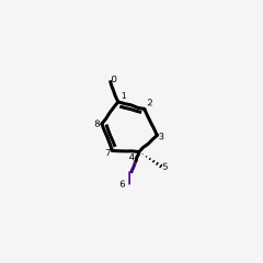 CC1=CC[C@@](C)(I)C=C1